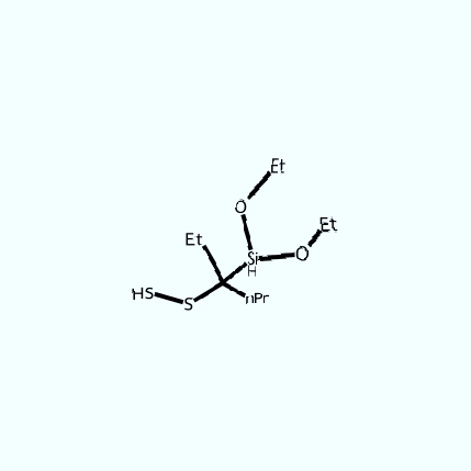 CCCC(CC)(SS)[SiH](OCC)OCC